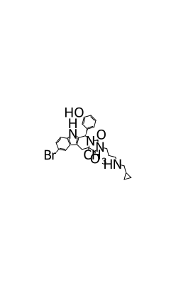 C[C@@]12Cc3c([nH]c4ccc(Br)cc34)[C@@H](c3cccc(O)c3)N1C(=O)N(CCCNCC1CC1)C2=O